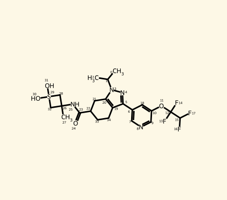 CC(C)n1nc(-c2cncc(OC(F)(F)C(F)F)c2)c2c1CC(C(=O)NC1(C)CS(O)(O)C1)CC2